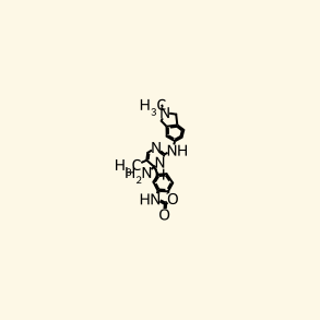 CC1=CN=C(Nc2ccc3c(c2)CN(C)C3)NC1(N)c1ccc2oc(=O)[nH]c2c1